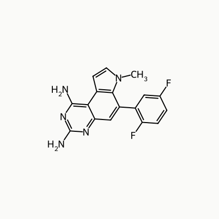 Cn1ccc2c3c(N)nc(N)nc3cc(-c3cc(F)ccc3F)c21